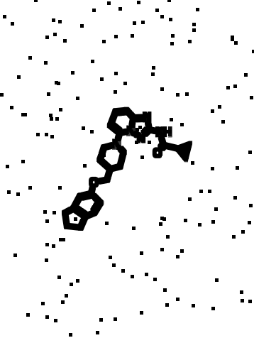 O=C(Nc1nc2cccc(N3CCC(COc4ccc5c(c4)CCC5)CC3)n2n1)C1CC1